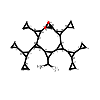 CC(C)C1C(C2C(C3C(C4CC4)C3C3CC3)C2C2C(C3CC3)C2C2CC2)C1C1C(C2C(C3CC3)C2C2CC2)C1C1C(C2CC2)C1C1CC1